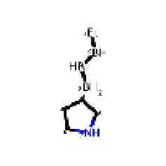 BBBCC.C1CCNC1